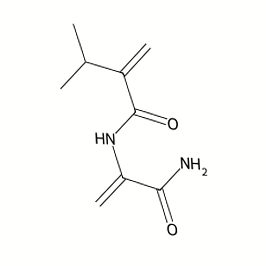 C=C(NC(=O)C(=C)C(C)C)C(N)=O